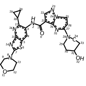 O=C(Nc1cc2sc(N3CCOCC3)nc2nc1C1CC1)c1cnn2ccc(N3CCC(O)CC3)nc12